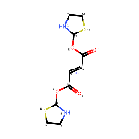 O=C(/C=C/C(=O)OC1NCCS1)OC1NCCS1